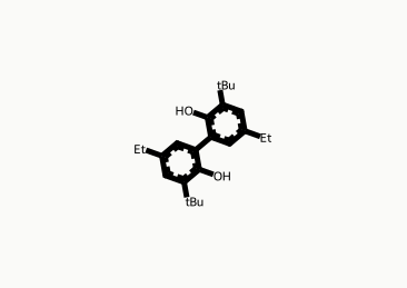 CCc1cc(-c2cc(CC)cc(C(C)(C)C)c2O)c(O)c(C(C)(C)C)c1